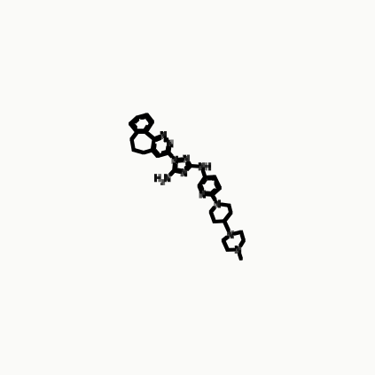 CN1CCN(C2CCN(c3ccc(Nc4nc(N)n(-c5cc6c(nn5)-c5ccccc5CCC6)n4)cn3)CC2)CC1